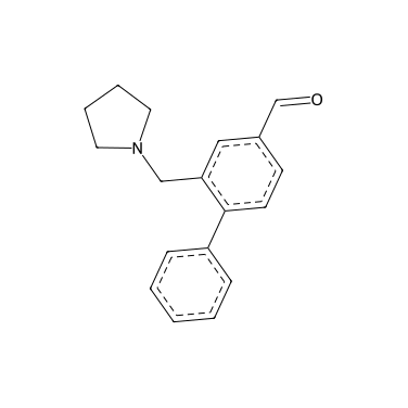 O=Cc1ccc(-c2ccccc2)c(CN2CCCC2)c1